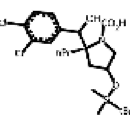 CCC[C@]1(C(O)c2ccc(Cl)c(Cl)c2)CC(O[Si](C)(C)C(C)(C)C)CN1C(=O)O